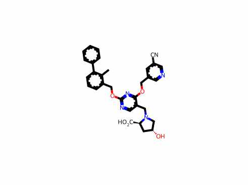 Cc1c(COc2ncc(CN3C[C@H](O)C[C@H]3C(=O)O)c(OCc3cncc(C#N)c3)n2)cccc1-c1ccccc1